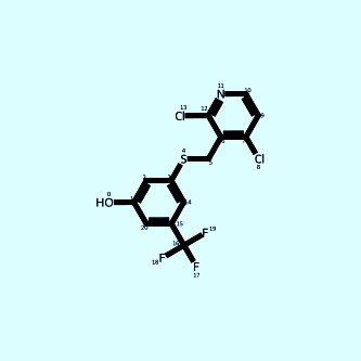 Oc1cc(SCc2c(Cl)ccnc2Cl)cc(C(F)(F)F)c1